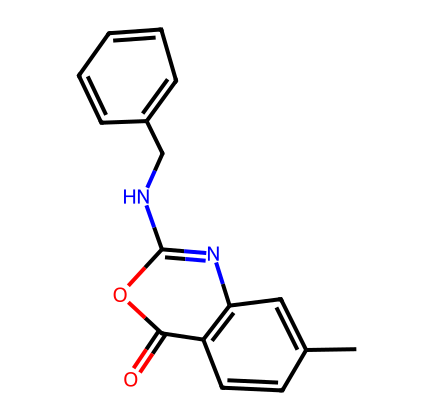 Cc1ccc2c(=O)oc(NCc3ccccc3)nc2c1